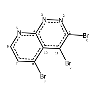 Brc1nnc2nccc(Br)c2c1Br